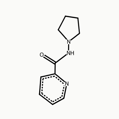 O=C(NN1CCCC1)c1ccccn1